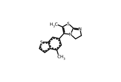 CC1=C(c2cc(C)c3ccsc3c2)N2CCN=C2S1